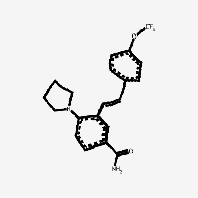 NC(=O)c1ccc(N2CCCC2)c(C=Cc2ccc(OC(F)(F)F)cc2)c1